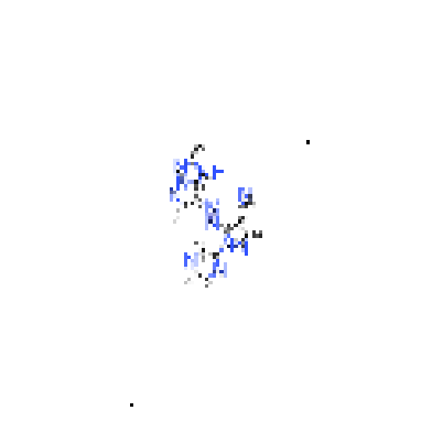 Cc1nn2nc(C)c(/N=N/c3c(C#N)cnn3-c3cnccn3)c2[nH]1